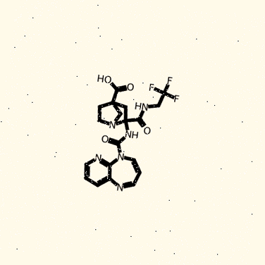 O=C(NC1(C(=O)NCC(F)(F)F)CC2(C(=O)O)CCN1C2)N1C=CC=Nc2cccnc21